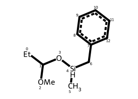 CCC(OC)O[SiH](C)Cc1ccccc1